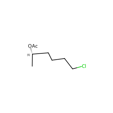 CC(=O)O[C@@H](C)CCCCCl